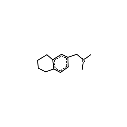 CN(C)Cc1ccc2c(c1)C[C]CC2